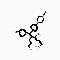 C\C=C/C=C(C)/C(CCCO)=C(/c1ccc(Br)cc1)c1ccc(N2CCN(C(C)C)CC2)cc1